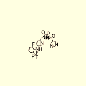 O=C(NC1(C(=O)NCc2ccc(Nc3c(F)cccc3C(F)(F)F)cn2)CC1)c1cncnc1